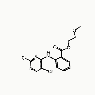 COCCOC(=O)c1ccccc1Nc1nc(Cl)ncc1Cl